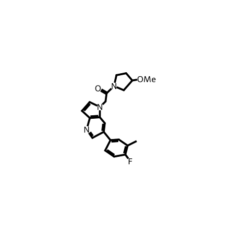 COC1CCN(C(=O)Cn2ccc3ncc(-c4ccc(F)c(C)c4)cc32)C1